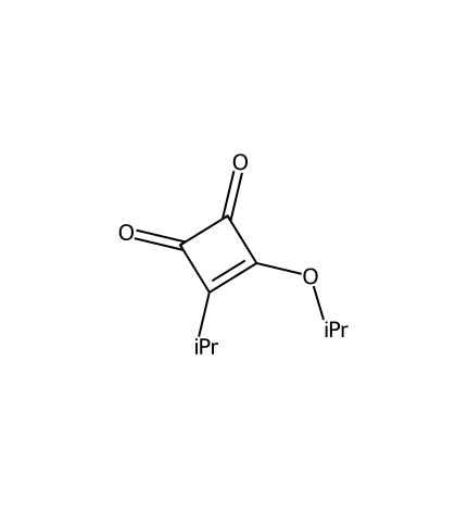 CC(C)Oc1c(C(C)C)c(=O)c1=O